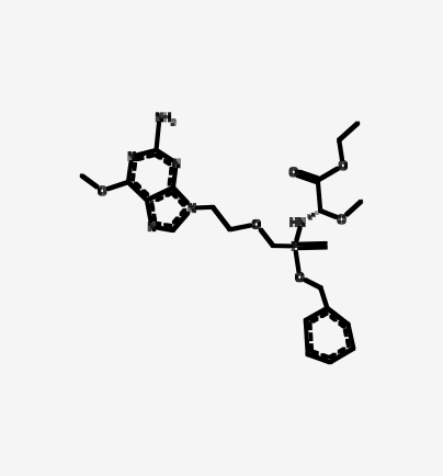 C=P(COCCn1cnc2c(OC)nc(N)nc21)(N[C@@H](OC)C(=O)OCC)OCc1ccccc1